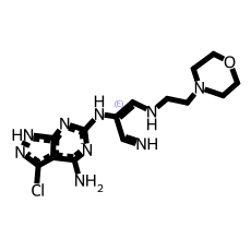 N=C/C(=C\NCCN1CCOCC1)Nc1nc(N)c2c(Cl)n[nH]c2n1